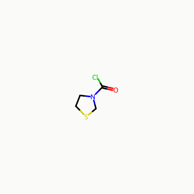 O=C(Cl)N1CCSC1